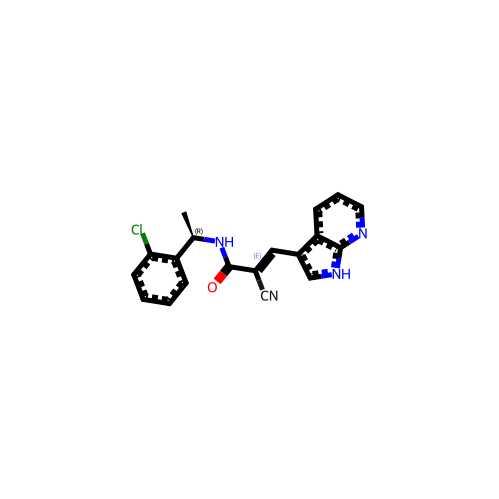 C[C@@H](NC(=O)/C(C#N)=C/c1c[nH]c2ncccc12)c1ccccc1Cl